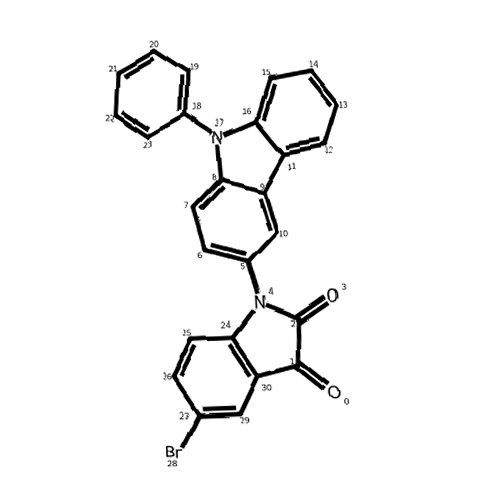 O=C1C(=O)N(c2ccc3c(c2)c2ccccc2n3-c2ccccc2)c2ccc(Br)cc21